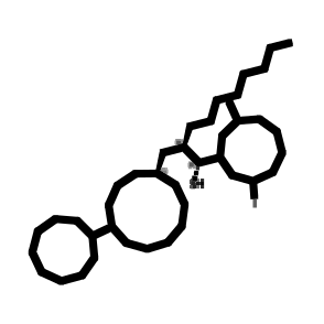 CCCCCCCC[C@H](C[C@H]1CCCCCCC(C2CCCCCCCC2)CCC1)[C@@H](S)C1CC(C)CCCCC(I)C1